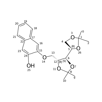 CC1(C)OC[C@H]([C@H]2OC(C)(C)O[C@@H]2COc2cc3ccccc3cc2O)O1